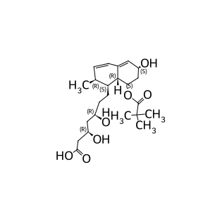 C[C@H]1C=CC2=C[C@@H](O)C[C@H](OC(=O)C(C)(C)C)[C@@H]2[C@H]1CC[C@@H](O)C[C@@H](O)CC(=O)O